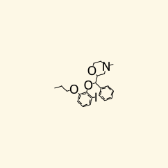 CCCOc1cccc(I)c1OC(c1ccccc1)C1CN(C)CCO1